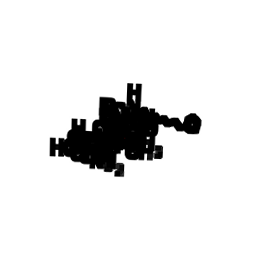 CC(C)C[C@H](NC(=O)CN(CCCCCCc1ccccc1)C(=O)CCOC(C)(C)CO)C(=O)N[C@@H](Cc1cnc[nH]1)C(=O)N[C@@H](C)C(=O)N[C@H](C(N)=O)[C@@H](C)OP(=O)(O)O